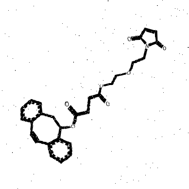 O=C(CCC(=O)OC1Cc2ccccc2C#Cc2ccccc21)OCCOCCN1C(=O)C=CC1=O